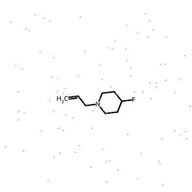 C=CCN1CCC(F)CC1